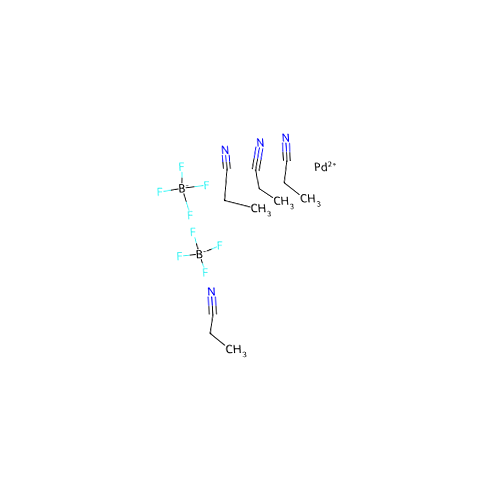 CCC#N.CCC#N.CCC#N.CCC#N.F[B-](F)(F)F.F[B-](F)(F)F.[Pd+2]